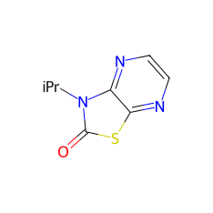 CC(C)n1c(=O)sc2nccnc21